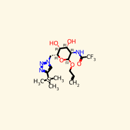 C=CCO[C@H]1O[C@H](Cn2cc([Si](C)(C)C)nn2)[C@H](O)[C@H](O)[C@H]1NC(=O)C(F)(F)F